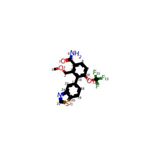 COCc1c(C(N)=O)ccc(OC(F)(F)F)c1-c1ccc2scnc2c1